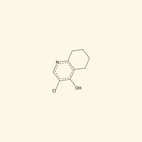 Oc1c(Cl)cnc2c1CCCC2